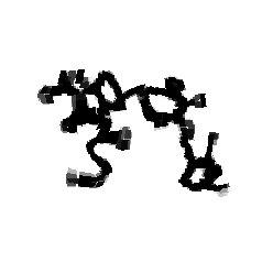 NC(=O)n1c(=O)n(C(=O)CCO)c2cc(Cn3cnc(OCc4ccc(F)cc4F)c(Cl)c3=O)ccc21